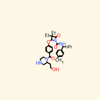 CCCC(NC(=O)N1C(=O)C(CC)(CC)C1Oc1ccc(C(=O)N2CCNCC2CCO)cc1)c1ccc(C)cc1